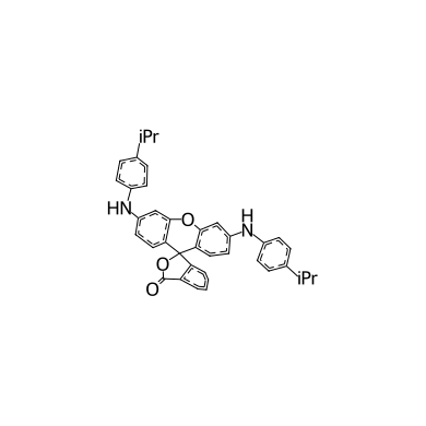 CC(C)c1ccc(Nc2ccc3c(c2)Oc2cc(Nc4ccc(C(C)C)cc4)ccc2C32OC(=O)c3ccccc32)cc1